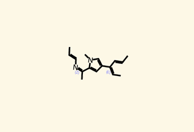 CC=C/N=C(/C)c1cc(/C(C=CC)=C/C)cn1C